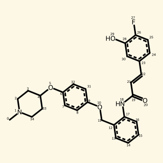 CN1CCC(Oc2ccc(OCc3ccccc3NC(=O)C=Cc3ccc(F)c(O)c3)cc2)CC1